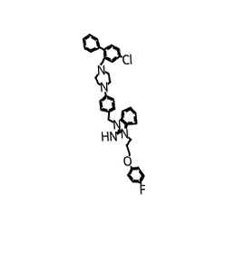 N=c1n(CCCOc2ccc(F)cc2)c2ccccc2n1Cc1ccc(N2CCN(Cc3cc(Cl)ccc3-c3ccccc3)CC2)cc1